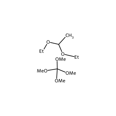 CCOC(C)OCC.COC(OC)(OC)OC